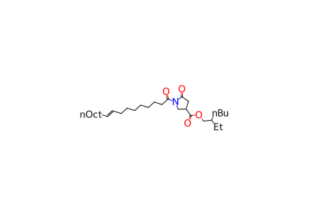 CCCCCCCCC=CCCCCCCCC(=O)N1CC(C(=O)OCC(CC)CCCC)CC1=O